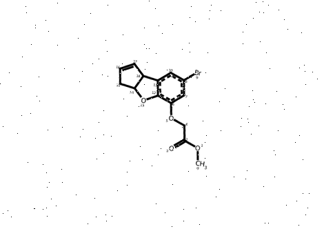 COC(=O)COc1cc(Br)cc2c1OC1CC=CC21